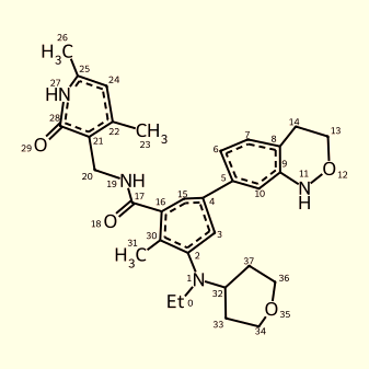 CCN(c1cc(-c2ccc3c(c2)NOCC3)cc(C(=O)NCc2c(C)cc(C)[nH]c2=O)c1C)C1CCOCC1